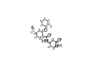 Cc1ccccc1Oc1cc(CF)ccc1C(=O)Nc1cc[nH]c(=O)c1